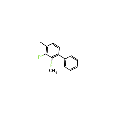 C.Cc1ccc(-c2ccccc2)c(F)c1F